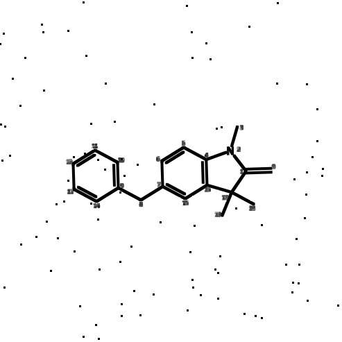 C=C1N(C)c2ccc(Cc3ccccc3)cc2C1(C)C